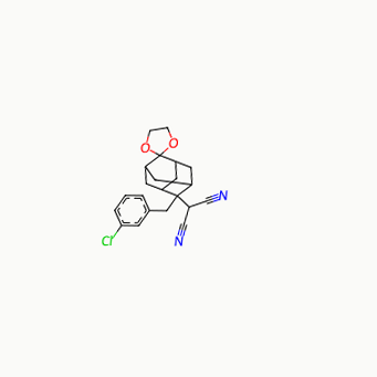 N#CC(C#N)C1(Cc2cccc(Cl)c2)C2CC3CC1CC(C2)C31OCCO1